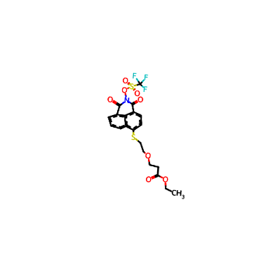 CCOC(=O)CCOCCSc1ccc2c3c(cccc13)C(=O)N(OS(=O)(=O)C(F)(F)F)C2=O